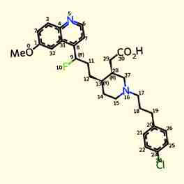 COc1ccc2nccc([C@H](F)CC[C@@H]3CCN(CCCc4ccc(Cl)cc4)C[C@@H]3CC(=O)O)c2c1